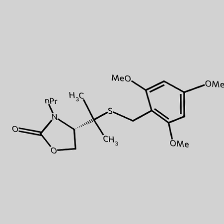 [CH2]CCN1C(=O)OC[C@H]1C(C)(C)SCc1c(OC)cc(OC)cc1OC